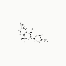 CC1(C)CN(c2ccc(C(F)(F)F)nc2)C(=O)c2cc(N)ccc21